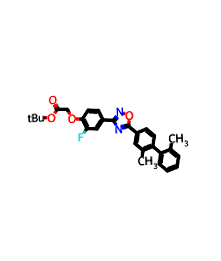 Cc1ccccc1-c1ccc(-c2nc(-c3ccc(OCC(=O)OC(C)(C)C)c(F)c3)no2)cc1C